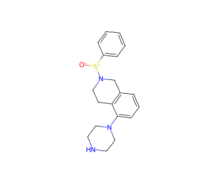 [O-][S+](c1ccccc1)N1CCc2c(cccc2N2CCNCC2)C1